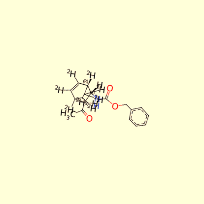 [2H]C1=C([2H])[C@]2([2H])[C@H](NC(=O)OCc3ccccc3)[C@@H](C(C)=O)C1([2H])C([2H])([2H])C2([2H])[2H]